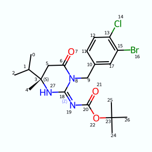 CC(C)[C@]1(C)CC(=O)N(Cc2ccc(Cl)c(Br)c2)/C(=N\C(=O)OC(C)(C)C)N1